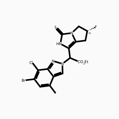 CCOC(=O)C(c1[nH]c(=S)n2c1C[C@@H](F)C2)n1cc2c(C)cc(Br)c(Cl)c2n1